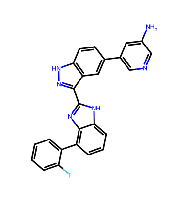 Nc1cncc(-c2ccc3[nH]nc(-c4nc5c(-c6ccccc6F)cccc5[nH]4)c3c2)c1